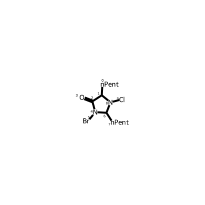 CCCCCC1C(=O)N(Br)C(CCCCC)N1Cl